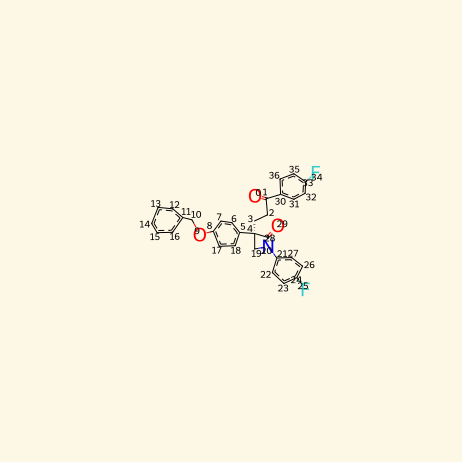 O=C(CC[C@@]1(c2ccc(OCc3ccccc3)cc2)CN(c2ccc(F)cc2)C1=O)c1ccc(F)cc1